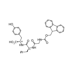 CC(C)C[C@H](NC(=O)CNC(=O)OCC1c2ccccc2-c2ccccc21)C(=O)N[C@H](Cc1ccc(O)cc1)C(=O)O